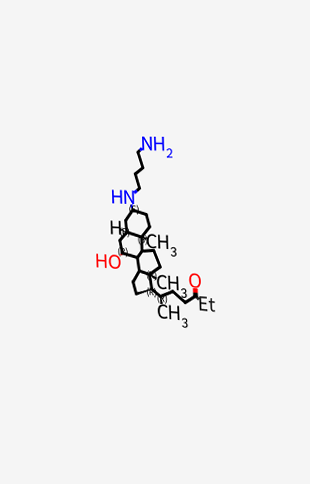 CCC(=O)CC[C@@H](C)[C@H]1CCC2C3C(CC[C@@]21C)[C@@]1(C)CC[C@H](NCCCCN)C[C@@H]1C[C@H]3O